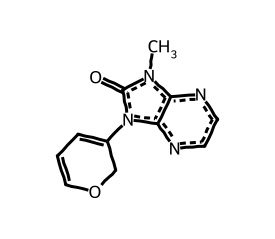 Cn1c(=O)n(C2=CC=COC2)c2nccnc21